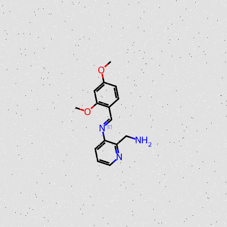 COc1ccc(/C=N/c2cccnc2CN)c(OC)c1